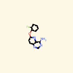 Nc1ncnc2ccc(Oc3ccccc3F)nc12